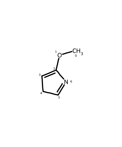 COC1=CCC=N1